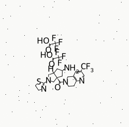 N[C@@H]1C[C@H]2CN(C3=NCCS3)C[C@@]2(C(=O)N2CCc3ncc(C(F)(F)F)cc3C2)C1.O=C(O)C(F)(F)F.O=C(O)C(F)(F)F